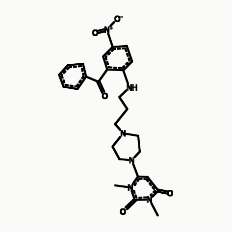 Cn1c(N2CCN(CCCNc3ccc([N+](=O)[O-])cc3C(=O)c3ccccc3)CC2)cc(=O)n(C)c1=O